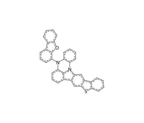 c1ccc2c(c1)N(c1cccc3c1oc1ccccc13)c1cccc3c4cc5sc6ccccc6c5cc4n-2c13